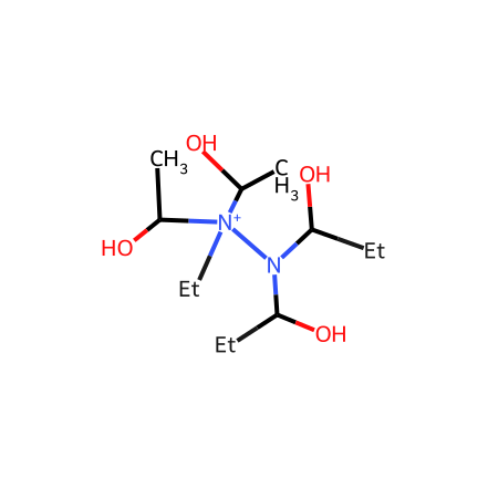 CCC(O)N(C(O)CC)[N+](CC)(C(C)O)C(C)O